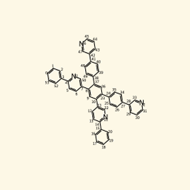 c1ccc(-c2ccc(-c3cc(-c4ccc(-c5ccccc5)nc4)c(-c4ccc(-c5cccnc5)cc4)cc3-c3ccc(-c4cccnc4)cc3)cn2)cc1